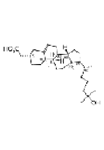 C[C@H](CCCC(C)(C)O)[C@H]1CC[C@H]2[C@@H]3CC=C4C[C@@H](CC(=O)O)CC[C@]4(C)[C@H]3CC[C@]12C